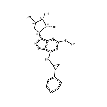 CC(C)Sc1nc(NC2CC2c2ccccc2)c2nnn([C@H]3C[C@@H](O)[C@H](O)[C@@H]3O)c2n1